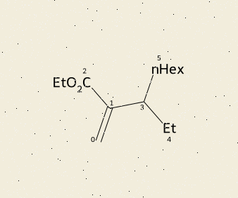 C=C(C(=O)OCC)C(CC)CCCCCC